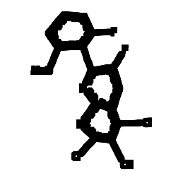 COc1cccc(F)c1-c1nc2nc(Cl)c(C#N)c(Cl)c2cc1F